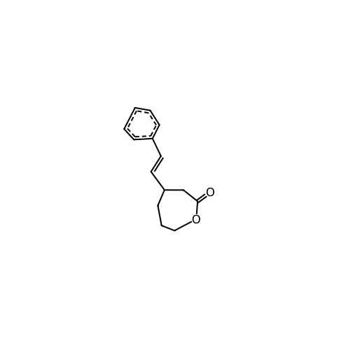 O=C1CC(C=Cc2ccccc2)CCCO1